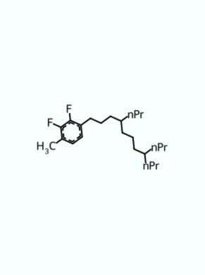 CCCC(CCC)CCCC(CCC)CCCc1ccc(C)c(F)c1F